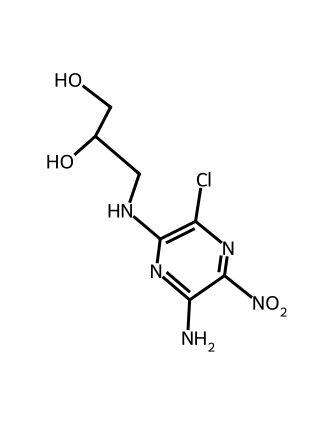 Nc1nc(NCC(O)CO)c(Cl)nc1[N+](=O)[O-]